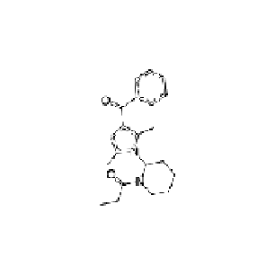 CCC(=O)N1CCCCC1n1c(C)cc(C(=O)c2ccccc2)c1C